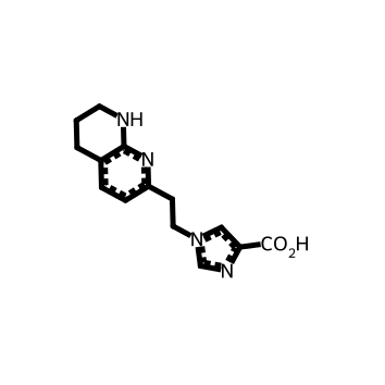 O=C(O)c1cn(CCc2ccc3c(n2)NCCC3)cn1